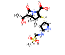 C[C@@H](O)[C@H]1C(=O)N2C(C(=O)O)=C(S[C@@H]3CN[C@H](NCS(C)(=O)=O)C3)[C@H](C)[C@H]12